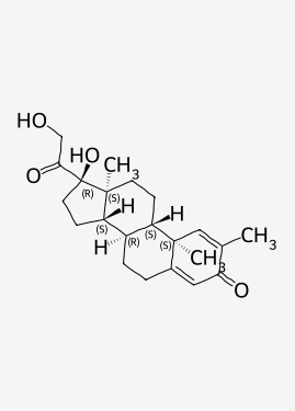 CC1=C[C@@]2(C)C(=CC1=O)CC[C@@H]1[C@@H]2CC[C@@]2(C)[C@H]1CC[C@]2(O)C(=O)CO